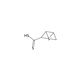 S=C(S)C1C2C3CS312